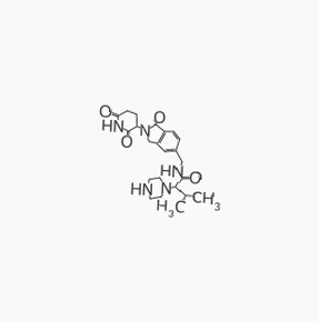 CC(C)C(C(=O)NCc1ccc2c(c1)CN(C1CCC(=O)NC1=O)C2=O)N1CCNCC1